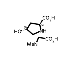 CNCC(=O)O.O=C(O)[C@@H]1C[C@@H](O)CN1